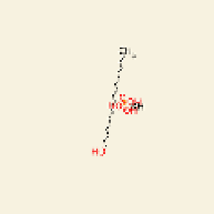 CCCCCCCCCCCCCCCCCCO.O=P(O)(O)O.[KH]